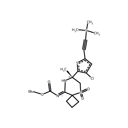 CC(C)(C)OC(=O)/N=C1\N[C@](C)(c2sc(C#C[Si](C)(C)C)cc2Cl)CS(=O)(=O)C12CCC2